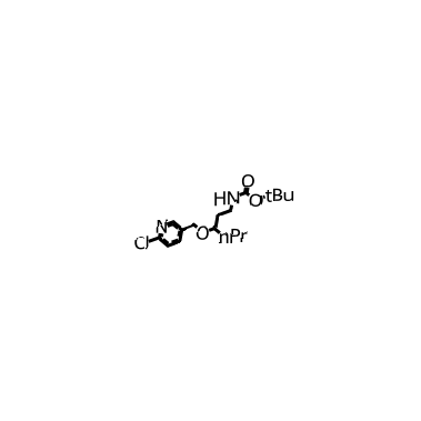 CCCC(CCNC(=O)OC(C)(C)C)OCc1ccc(Cl)nc1